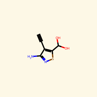 C#Cc1c(N)nsc1C(O)O